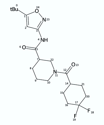 CC(C)(C)c1cc(NC(=O)C2CCCN(C(=O)C3CCC(F)(F)CC3)C2)no1